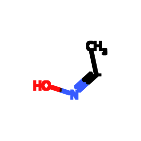 C/[C]=N\O